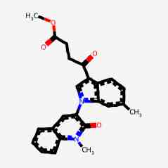 COC(=O)CCC(=O)c1cn(-c2cc3ccccc3n(C)c2=O)c2cc(C)ccc12